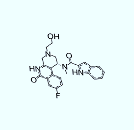 CN(C(=O)c1cc2ccccc2[nH]1)[C@H]1CN(CCO)Cc2[nH]c(=O)c3cc(F)ccc3c21